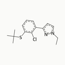 CCn1ccc(-c2cccc(SC(C)(C)C)c2Cl)n1